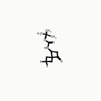 CC(C)(C)OC(=O)NC1CC(=O)C12CC(F)(F)C2